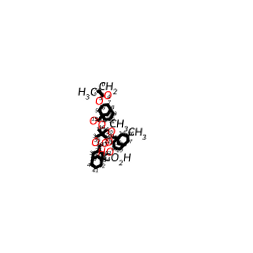 C=C(C)C(=O)OC1CC2CC(C)CC(C(=O)OCC3(COC(=O)C45CC(C)CC(CC(O)C4)C5)COC(C4CC5CCCC(C(=O)O)(C5)C4)OC3)(C2)C1